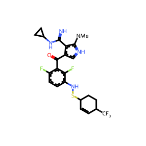 CNc1[nH]cc(C(=O)c2c(F)ccc(NSC3C=CC(C(F)(F)F)CC3)c2F)c1C(=N)NC1CC1